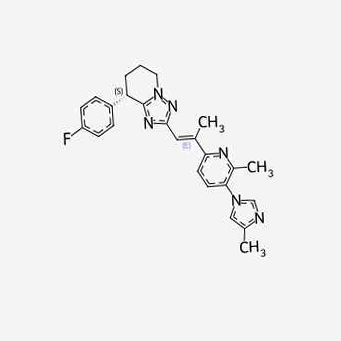 C/C(=C\c1nc2n(n1)CCC[C@H]2c1ccc(F)cc1)c1ccc(-n2cnc(C)c2)c(C)n1